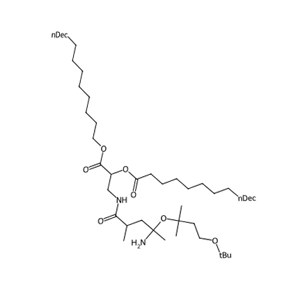 CCCCCCCCCCCCCCCCCCOC(=O)C(CNC(=O)C(C)CC(C)(N)OC(C)(C)CCOC(C)(C)C)OC(=O)CCCCCCCCCCCCCCCCC